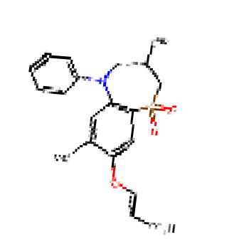 CCCCC1CN(c2ccccc2)c2cc(SC)c(OC=CC(=O)O)cc2S(=O)(=O)C1